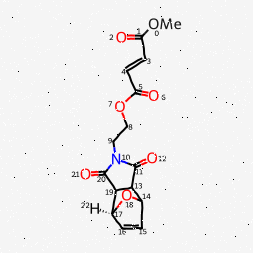 COC(=O)/C=C/C(=O)OCCN1C(=O)C2C3C=C[C@H](O3)C2C1=O